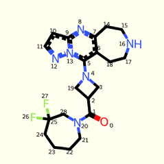 O=C(C1CN(c2c3c(nc4ccnn24)CCNCC3)C1)N1CCCCC(F)(F)C1